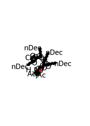 CCCCCCCCCCCCCCCC(=O)OCC(COC(=O)CCCCCCCCCCCCCCC)OC(=O)OC(C)Cl.CCCCCCCCCCCCCCCC(=O)OCC(COC(=O)CCCCCCCCCCCCCCC)OC(=O)OC(C)OC(=O)C1(N)C(I)=C(C(C)=O)C(I)=C(C(C)=O)C1I